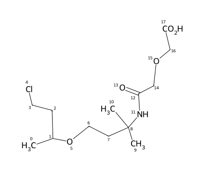 CC(CCCl)OCCC(C)(C)NC(=O)COCC(=O)O